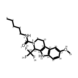 CCCCCNC(=O)N1CCc2c([nH]c3ccc(OC)cc23)C1C(F)(F)F